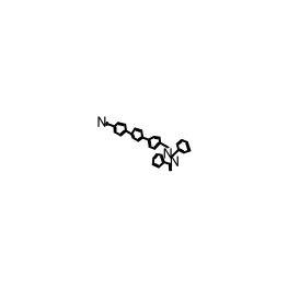 C=C(/N=C(\N=C\c1ccc(-c2ccc(-c3ccc(C#N)cc3)cc2)cc1)c1ccccc1)c1ccccc1